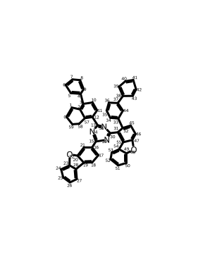 C1=Cc2c(-c3ccccc3)ccc(-c3nc(-c4ccc5c(c4)oc4ccccc45)nc(-c4c(-c5cccc(-c6ccccc6)c5)ccc5oc6ccccc6c45)n3)c2CC1